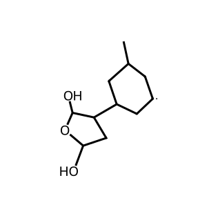 CC1C[CH]CC(C2CC(O)OC2O)C1